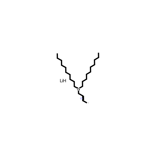 [CH2]/C=C/CN(CCCCCCCCCC)CCCCCCCCCC.[LiH]